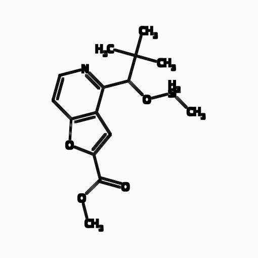 COC(=O)c1cc2c(C(O[SiH2]C)C(C)(C)C)nccc2o1